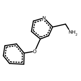 NCc1cc(Oc2ccccc2)ccn1